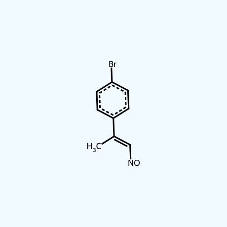 CC(=CN=O)c1ccc(Br)cc1